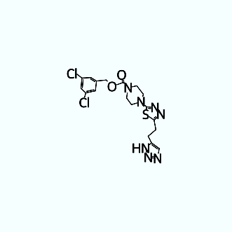 O=C(OCc1cc(Cl)cc(Cl)c1)N1CCN(c2nnc(CCc3cnn[nH]3)s2)CC1